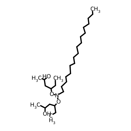 CCCCCCCCCCCCCCCCCCN(OC(CC)CC(C)O)OC(CC)CC(C)O